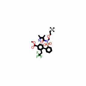 COC(=O)c1ccc(-c2ccccc2S(=O)(=O)N(COCC[Si](C)(C)C)c2onc(C)c2C)c(CC(F)(F)F)c1